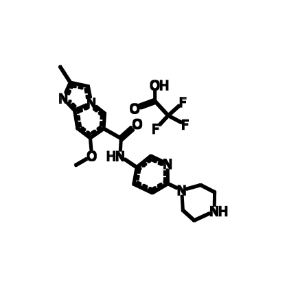 COc1cc2nc(C)cn2cc1C(=O)Nc1ccc(N2CCNCC2)nc1.O=C(O)C(F)(F)F